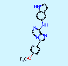 FC(F)(F)Oc1ccc(-c2cnc3c(Nc4ccc5[nH]ccc5c4)nccn23)cc1